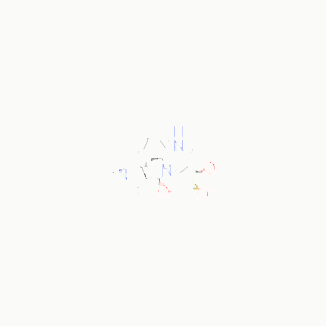 CC1C2=C(CNc3ccccc3N2C(=O)C2=CCN(C)CC2)C(=O)[S+]1[O-]